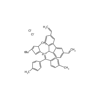 C=Cc1ccc2c(c1)-c1cc(C=C)ccc1[CH]2[Zr+2]([C]1=CC(C(C)(C)C)=CC1C)=[C](c1ccc(C)cc1)c1ccc(C)cc1.[Cl-].[Cl-]